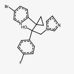 OC(Cn1ccnc1)(c1ccc(F)cc1)C1(c2ccc(Br)cn2)CC1